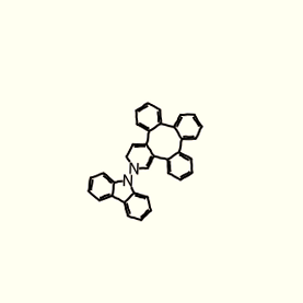 C1=C2C(=CN(n3c4ccccc4c4ccccc43)C1)c1ccccc1-c1ccccc1-c1ccccc12